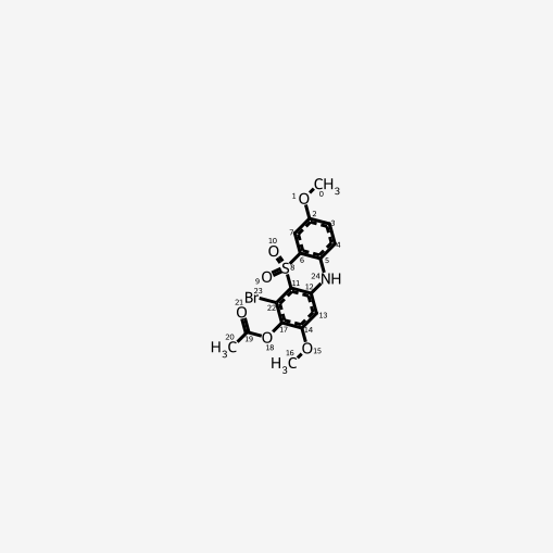 COc1ccc2c(c1)S(=O)(=O)c1c(cc(OC)c(OC(C)=O)c1Br)N2